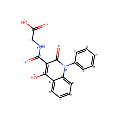 O=C(O)CNC(=O)c1c(O)c2ccccc2n(-c2ccccc2)c1=O